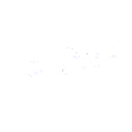 CCCCC(CCC[C@H](C)CC(=O)N[C@H](C[C@@H](O[Si](C)(C)C(C)(C)C)c1nc(C(=O)OC)cs1)C(C)C)N=[N+]=[N-]